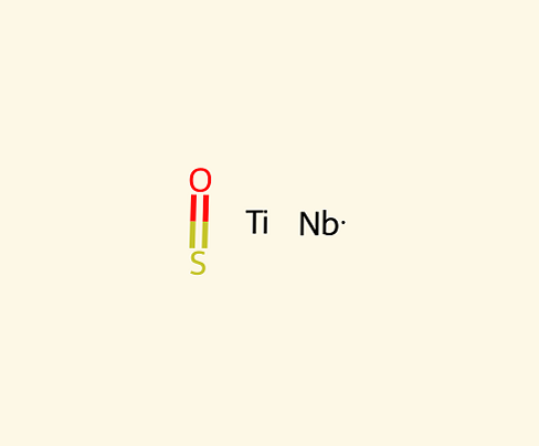 O=S.[Nb].[Ti]